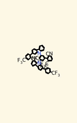 N#Cc1cccc(C(F)(F)F)c1-c1cc(-n2c3ccccc3c3ccc(-c4ccc(C(F)(F)F)cc4C(F)(F)F)cc32)c(C#N)c(-n2c3ccccc3c3ccc(-c4ccc(C(F)(F)F)cc4C(F)(F)F)cc32)c1